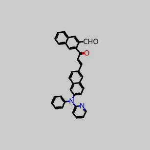 O=Cc1cc2ccccc2cc1C(=O)C=Cc1ccc2cc(N(c3ccccc3)c3ccccn3)ccc2c1